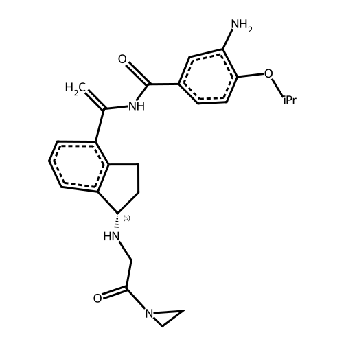 C=C(NC(=O)c1ccc(OC(C)C)c(N)c1)c1cccc2c1CC[C@@H]2NCC(=O)N1CC1